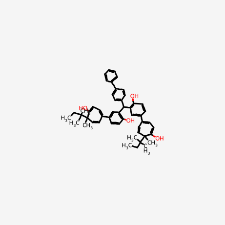 CCC(C)(C)C1(C)C=CC(c2ccc(O)c(C(c3ccc(-c4ccccc4)cc3)c3cc(C4=CC=C(O)C(C)(C(C)(C)CC)C=C4)ccc3O)c2)=CC=C1O